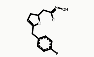 O/N=C(\Cl)CC1CC=C(Cc2ccc(F)cc2)O1